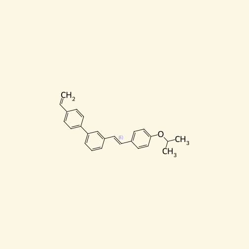 C=Cc1ccc(-c2cccc(/C=C/c3ccc(OC(C)C)cc3)c2)cc1